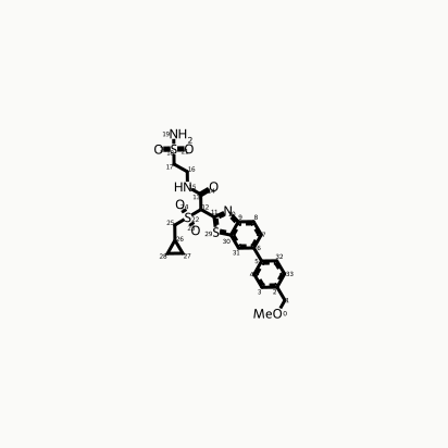 COCc1ccc(-c2ccc3nc(C(C(=O)NCCS(N)(=O)=O)S(=O)(=O)CC4CC4)sc3c2)cc1